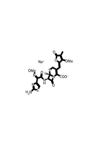 CO/N=C(\C(=O)N[C@@H]1C(=O)N2C(C(=O)[O-])=C(/C=C3\OC(=O)C(C)=C3OC)CS[C@@H]12)c1csc(N)n1.[Na+]